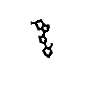 Fc1cnccc1-c1cnn(-c2cnn3ccc(I)nc23)c1